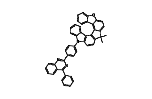 CC1(C)c2ccc3oc4ccccc4c3c2-c2c1ccc1c2c2ccccc2n1-c1ccc(-c2nc(-c3ccccc3)c3ccccc3n2)cc1